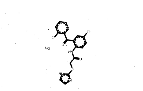 Cl.O=C(CSc1ncc[nH]1)Nc1ccc(Cl)cc1C(=O)c1ccccc1Cl